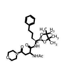 CC(=O)NC(CC(=O)N1CCOCC1)C(=O)N[C@@H](CCCc1ccccc1)B1OC(C)(C)C(C)(C)O1